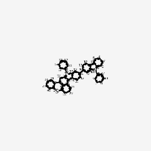 c1ccc(-n2c3ccccc3c3ccc(-c4ccc5c6c7cccc8c7c(cc6n(-c6ccccc6)c5c4)-c4ccccc4S8)cc32)cc1